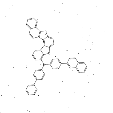 c1ccc(-c2ccc(N(c3ccc(-c4ccc5ccccc5c4)cc3)c3cccc4c3oc3ccc5sc6c7ccccc7ccc6c5c34)cc2)cc1